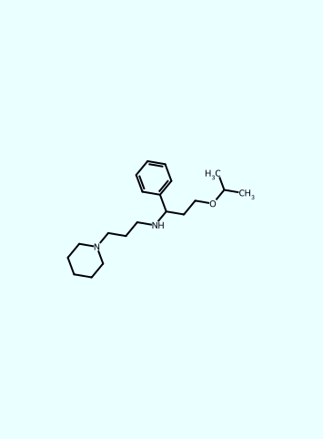 CC(C)OCCC(NCCCN1CCCCC1)c1ccccc1